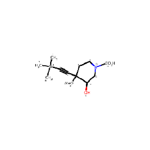 COC1(C#C[Si](C)(C)C)CCN(C(=O)O)CC1O